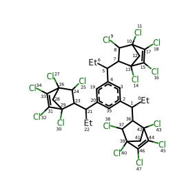 CCC(c1cc(C(CC)C2C(Cl)C3(Cl)CC2(Cl)C(Cl)=C3Cl)cc(C(CC)C2C(Cl)C3(Cl)CC2(Cl)C(Cl)=C3Cl)c1)C1C(Cl)C2(Cl)CC1(Cl)C(Cl)=C2Cl